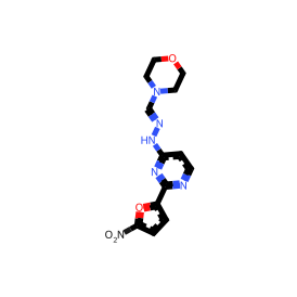 O=[N+]([O-])c1ccc(-c2nccc(NN=CN3CCOCC3)n2)o1